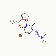 CCN(C)/C=N/c1cc(Br)c(OC(c2ccco2)C(F)(F)F)nc1C